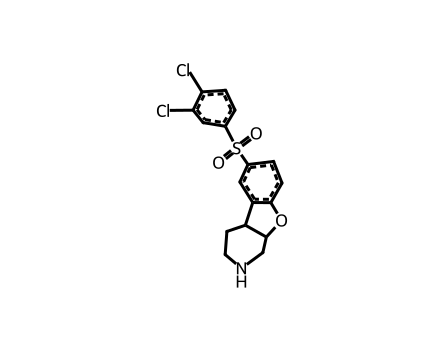 O=S(=O)(c1ccc(Cl)c(Cl)c1)c1ccc2c(c1)C1CCNCC1O2